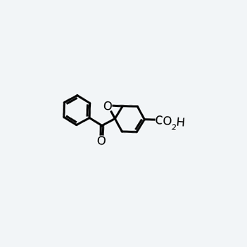 O=C(O)C1=CCC2(C(=O)c3ccccc3)OC2C1